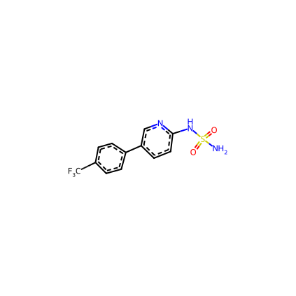 NS(=O)(=O)Nc1ccc(-c2ccc(C(F)(F)F)cc2)cn1